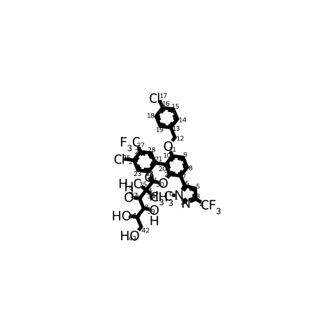 Cn1nc(C(F)(F)F)cc1-c1ccc(OCc2ccc(Cl)cc2)c(-c2ccc(Cl)c(C(F)(F)F)c2)c1OC(=O)C(C)(C)C(O)C(O)C(O)CO